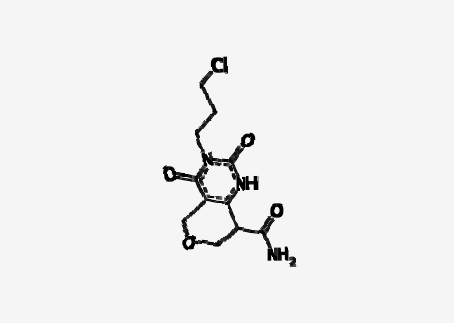 NC(=O)C1COCc2c1[nH]c(=O)n(CCCCl)c2=O